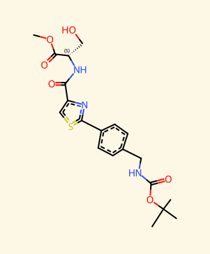 COC(=O)[C@H](CO)NC(=O)c1csc(-c2ccc(CNC(=O)OC(C)(C)C)cc2)n1